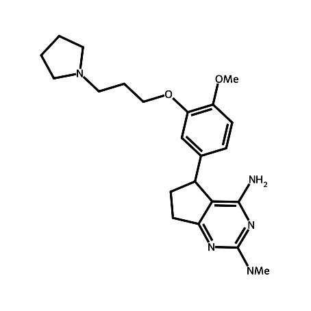 CNc1nc(N)c2c(n1)CCC2c1ccc(OC)c(OCCCN2CCCC2)c1